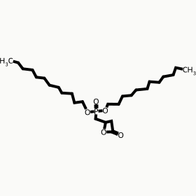 CCCCCCCCCCCCOP(=O)(CC1CC(=O)O1)OCCCCCCCCCCCC